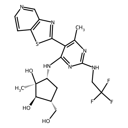 Cc1nc(NCC(F)(F)F)nc(N[C@@H]2C[C@H](CO)[C@@H](O)[C@@]2(C)O)c1-c1nc2cnccc2s1